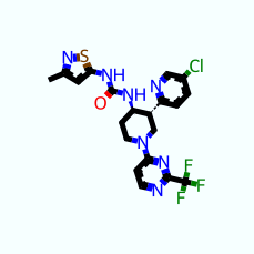 Cc1cc(NC(=O)N[C@@H]2CCN(c3ccnc(C(F)(F)F)n3)C[C@H]2c2ccc(Cl)cn2)sn1